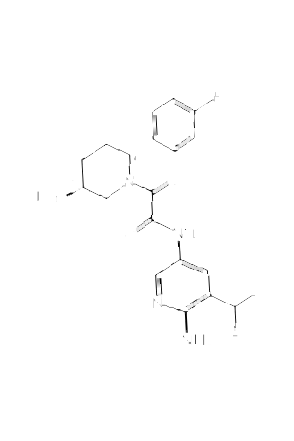 C[C@H]1CC[C@H](c2ccc(F)cc2)N(C(=O)C(=O)Nc2cnc(N)c(C(F)F)c2)C1